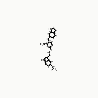 COc1ccc2[nH]cc(CCNc3ncc(Cc4ccc5cc[nH]c5c4)c(N)n3)c2c1